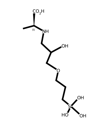 C[C@H](NCC(O)COCCC[Si](O)(O)O)C(=O)O